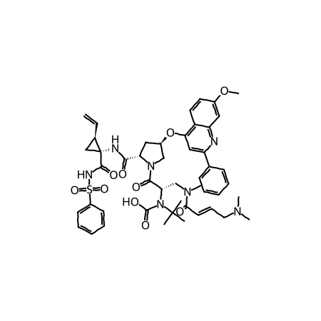 C=C[C@@H]1C[C@]1(NC(=O)[C@@H]1C[C@@H](Oc2cc(-c3ccccc3)nc3cc(OC)ccc23)CN1C(=O)[C@H](CN(C)C(=O)/C=C/CN(C)C)N(C(=O)O)C(C)(C)C)C(=O)NS(=O)(=O)c1ccccc1